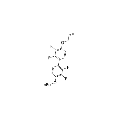 C=CCOc1ccc(-c2ccc(OCCCC)c(F)c2F)c(F)c1F